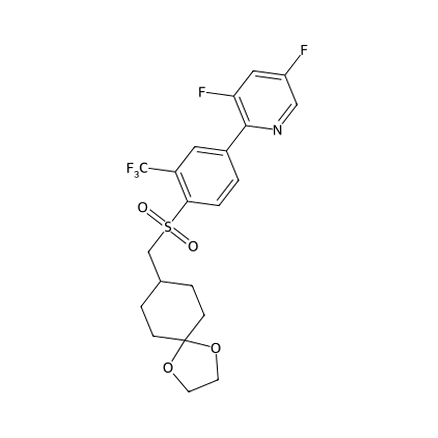 O=S(=O)(CC1CCC2(CC1)OCCO2)c1ccc(-c2ncc(F)cc2F)cc1C(F)(F)F